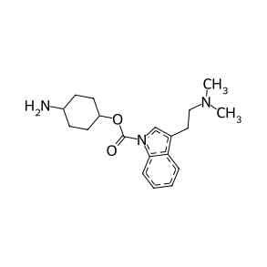 CN(C)CCc1cn(C(=O)OC2CCC(N)CC2)c2ccccc12